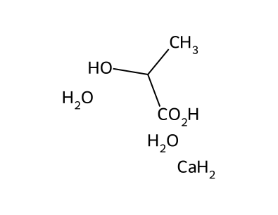 CC(O)C(=O)O.O.O.[CaH2]